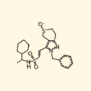 CC(NS(=O)(=O)/C=C/c1c2c(nn1Cc1ccccc1)CC[S+]([O-])C2)C1CCCCC1